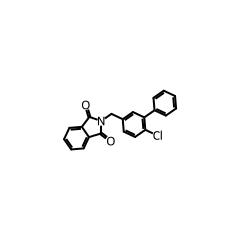 O=C1c2ccccc2C(=O)N1Cc1ccc(Cl)c(-c2ccccc2)c1